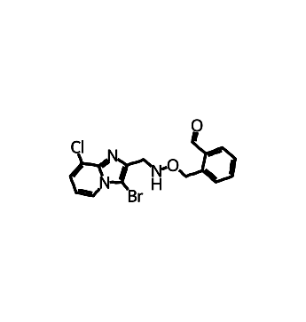 O=Cc1ccccc1CONCc1nc2c(Cl)cccn2c1Br